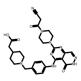 N#CCC(=O)N1CCN(c2nc(Nc3ccc(CN4CCC(CC(=O)O)CC4)cc3)c3c(=O)[nH]ncc3n2)CC1